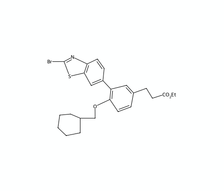 CCOC(=O)CCc1ccc(OCC2CCCCC2)c(-c2ccc3nc(Br)sc3c2)c1